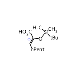 CCCCC/C=C(\O[Si](C)(C)C(C)(C)C)C(=O)O